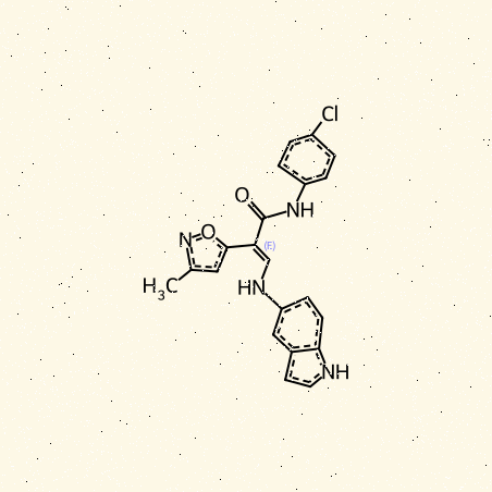 Cc1cc(/C(=C\Nc2ccc3[nH]ccc3c2)C(=O)Nc2ccc(Cl)cc2)on1